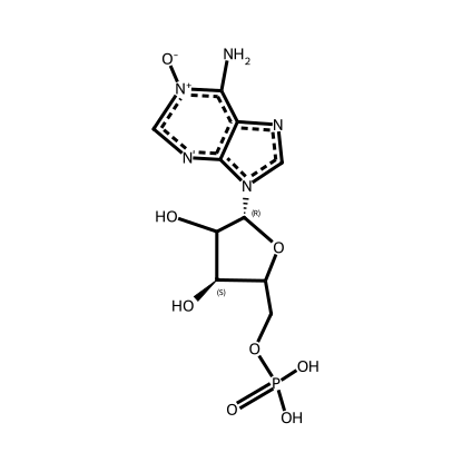 Nc1c2ncn([C@@H]3OC(COP(=O)(O)O)[C@@H](O)C3O)c2nc[n+]1[O-]